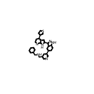 c1ccc(CNCc2cncc(-c3ccc4[nH]nc(-c5cc6c(-c7ccsc7)ccnc6[nH]5)c4c3)c2)cc1